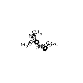 COC(=O)c1cccc(CNC(=O)c2ccc(-n3cnc(C)c3)c(OC)c2)c1